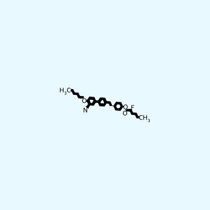 CCCCCCOc1ccc(-c2ccc(CC[C@H]3CC[C@H](OC(=O)[C@@H](F)CCCC)CC3)cc2)cc1C#N